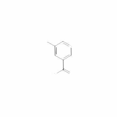 NC(=O)c1[c]c(Cl)cnc1